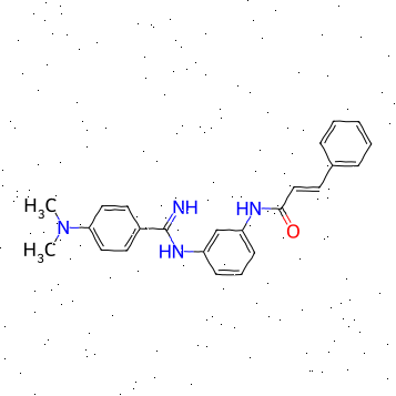 CN(C)c1ccc(C(=N)Nc2cccc(NC(=O)C=Cc3ccccc3)c2)cc1